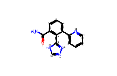 NC(=O)c1cccc(-c2ccccn2)c1-c1nnc[nH]1